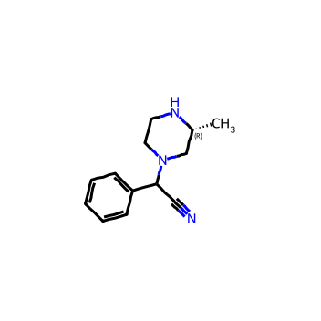 C[C@@H]1CN(C(C#N)c2ccccc2)CCN1